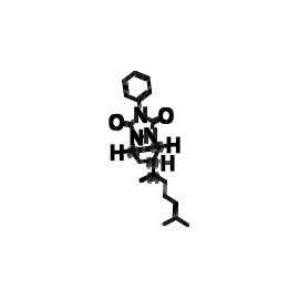 CC(C)=CCC[C@@H](C)[C@H]1C[C@H]2C=C[C@@H]1n1c(=O)n(-c3ccccc3)c(=O)n12